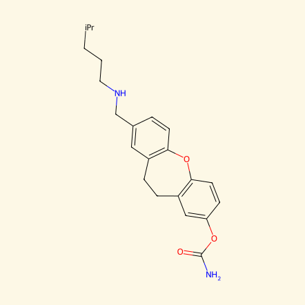 CC(C)CCCNCc1ccc2c(c1)CCc1cc(OC(N)=O)ccc1O2